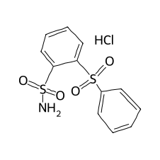 Cl.NS(=O)(=O)c1ccccc1S(=O)(=O)c1ccccc1